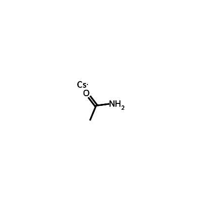 CC(N)=O.[Cs]